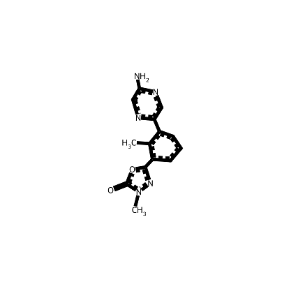 Cc1c(-c2cnc(N)cn2)cccc1-c1nn(C)c(=O)o1